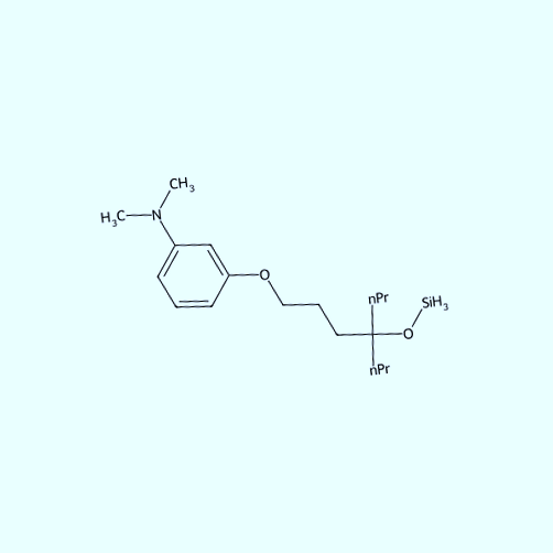 CCCC(CCC)(CCCOc1cccc(N(C)C)c1)O[SiH3]